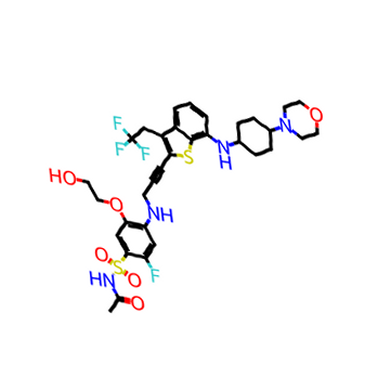 CC(=O)NS(=O)(=O)c1cc(OCCO)c(NCC#Cc2sc3c(NC4CCC(N5CCOCC5)CC4)cccc3c2CC(F)(F)F)cc1F